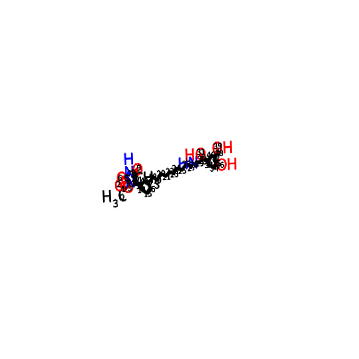 CC(=O)ON1C(=O)NC(=O)C1(C)Cc1cccc(CCCCCCCCCCNCC(O)c2ccc(O)c(CO)c2)c1